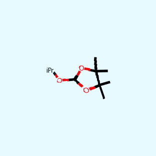 CC(C)OC1OC(C)(C)C(C)(C)O1